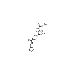 CC(C)(C)OC(=O)N1CCc2c(N3CCN(C(=O)OCc4ccccc4)CC3)cc(F)nc21